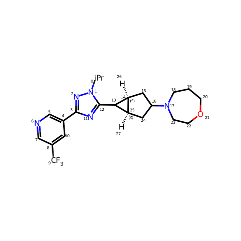 CC(C)n1nc(-c2cncc(C(F)(F)F)c2)nc1C1[C@H]2CC(N3CCCOCC3)C[C@@H]12